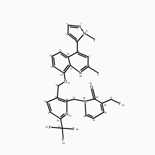 Cc1cc(-c2ccnn2C)c2cccc(OCc3ccc(C(F)(F)F)nc3Cn3cccc(CF)c3=O)c2n1